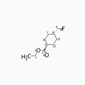 CCOC(=O)[C@H]1CC[C@H](CF)CC1